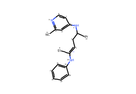 CC/C(=C\CC(Nc1ccnc(C#N)c1)C(C)C)Nc1ccccc1